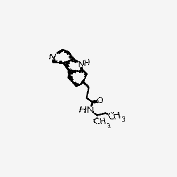 CC[C@H](C)NC(=O)CCc1ccc2c(c1)[nH]c1ccncc12